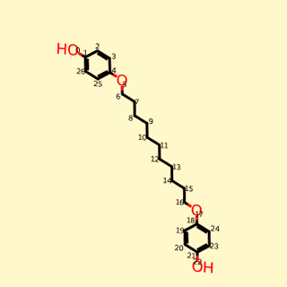 Oc1ccc(OCCCCCCCCCCCOc2ccc(O)cc2)cc1